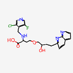 O=C(O)C(CCOCC(O)CCc1ccc2cccnc2n1)NCc1c(F)cncc1Cl